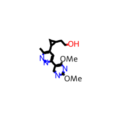 COc1ncc(-c2cc(C3CC3CCO)c(C)nn2)c(OC)n1